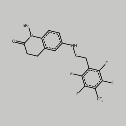 CCCN1C(=O)CCc2cc(NSCc3c(F)c(F)c(C(F)(F)F)c(F)c3F)ccc21